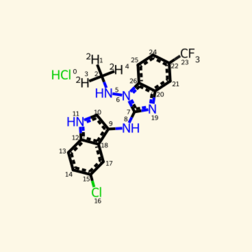 Cl.[2H]C([2H])([2H])Nn1c(Nc2c[nH]c3ccc(Cl)cc23)nc2cc(C(F)(F)F)ccc21